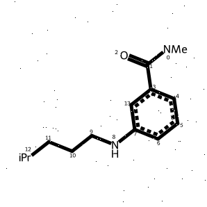 CNC(=O)c1cccc(NCCCC(C)C)c1